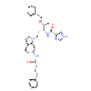 C[C@H](OCc1ccccc1)[C@@H](CCn1ccc2ccc(NC(=O)CCCc3ccccc3)cc21)NC(=O)c1c[nH]cn1